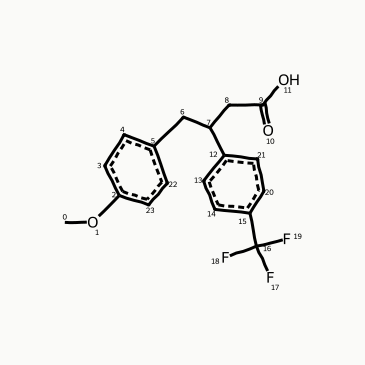 COc1ccc(CC(CC(=O)O)c2ccc(C(F)(F)F)cc2)cc1